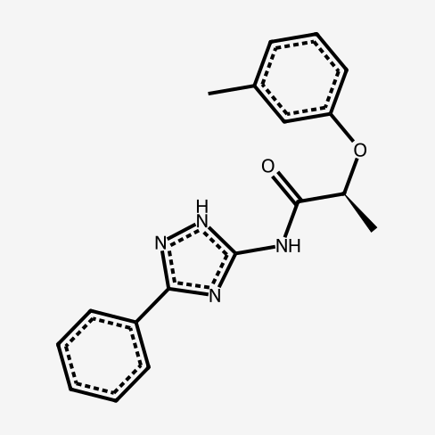 Cc1cccc(O[C@@H](C)C(=O)Nc2nc(-c3ccccc3)n[nH]2)c1